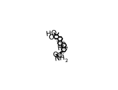 CC1=C(O)C(=O)C=C2C1=CC=C1[C@@]2(C)CC[C@@]2(C)[C@@H]3C[C@](C)(COC(N)=O)CC[C@@]3(C)CC[C@]12C